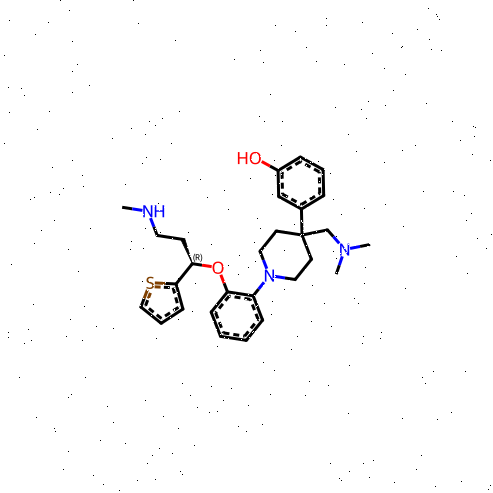 CNCC[C@@H](Oc1ccccc1N1CCC(CN(C)C)(c2cccc(O)c2)CC1)c1cccs1